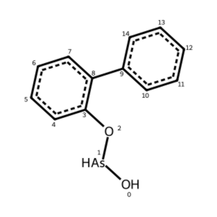 O[AsH]Oc1ccccc1-c1ccccc1